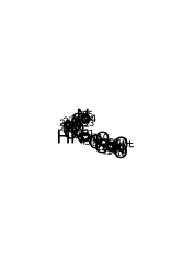 O=C(Nc1ccc(COC(=O)Oc2ccc([N+](=O)[O-])cc2)cc1)O[C@@H]1CCC[C@H]1SSc1ccccn1